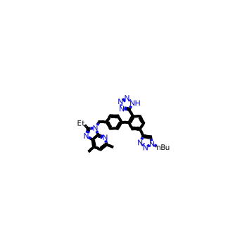 CCCCn1cc(-c2ccc(-c3nnn[nH]3)c(-c3ccc(Cn4c(CC)nc5c(C)cc(C)nc54)cc3)c2)nn1